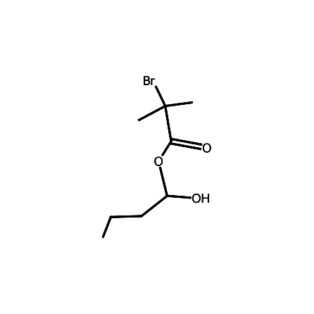 CCCC(O)OC(=O)C(C)(C)Br